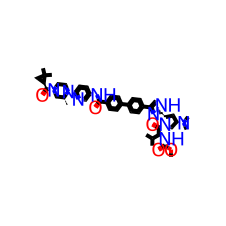 COC(=O)N[C@H](C(=O)N1C[C@@H](N(C)C)C[C@H]1c1nc(-c2ccc(-c3ccc(C(=O)Nc4ccc(N5CCN(C(=O)[C@H]6CC6(C)C)C[C@H]5C)nc4)cc3)cc2)c[nH]1)C(C)C